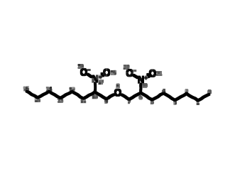 CCCCCCC(COCC(CCCCCC)[N+](=O)[O-])[N+](=O)[O-]